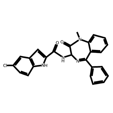 CN1C(=O)C(NC(=O)c2cc3cc(Cl)ccc3[nH]2)N=C(c2ccccc2)c2ccccc21